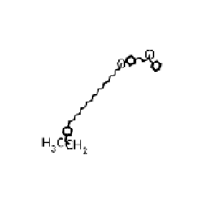 C=C(C)c1ccc(CCCCCCCCCCCCCCCCCCOc2ccc(C=CC(=O)c3ccccc3)cc2)cc1